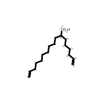 C=CCCCCCCCCC(CCCCC=C)C(=O)O